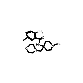 CCC(C)N1CCC(CN2CCOCC2)(NC(=O)c2cc(F)ccc2C)CC1